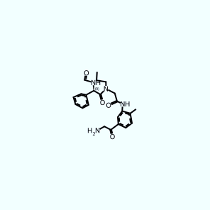 CCCN(CC(=O)Nc1cc(C(=O)CN)ccc1C)C(=O)[C@H](NC=O)c1ccccc1